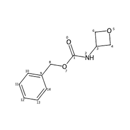 O=C(NC1COC1)OCc1ccccc1